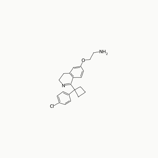 NCCOc1ccc2c(c1)CCN=C2C1(c2ccc(Cl)cc2)CCC1